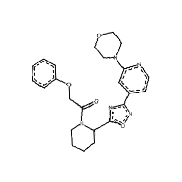 O=C(COc1ccccc1)N1CCCCC1c1nc(-c2ccnc(N3CCOCC3)c2)no1